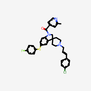 Cc1cc(C(=O)N2CC3(CCN(C/C=C/c4ccc(Cl)cc4)CC3)c3cc(Sc4ccc(F)cc4)ccc32)ccn1